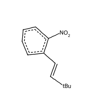 CC(C)(C)C=Cc1ccccc1[N+](=O)[O-]